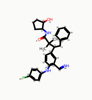 CC(C)(C(=O)NC1CCCC1O)C(Cc1ccccc1)c1ccc(Nc2ccc(F)cc2)c(C=N)c1